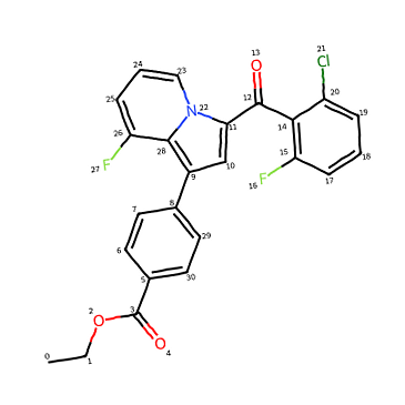 CCOC(=O)c1ccc(-c2cc(C(=O)c3c(F)cccc3Cl)n3cccc(F)c23)cc1